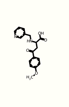 COc1ccc(C(=O)CC(NCc2cccnc2)C(=O)O)cc1